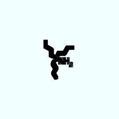 CCC=C[Si](N)(C=CCC)C=CCC